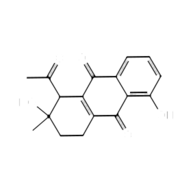 CC(=O)C1C2=C(CCC1(C)O)C(=O)c1c(O)cccc1C2=O